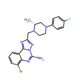 C[C@@H]1CN(c2ccc(F)cc2)CCN1Cc1nc2c3cccc(Br)c3nc(N)n2n1